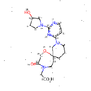 O=C(O)CN1CCC2(CCCN(c3ccnc(N4CCC(O)C4)n3)C2)OCC1=O